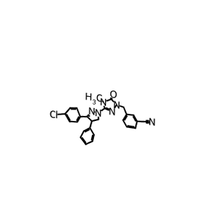 Cn1c(N2CC(c3ccccc3)C(c3ccc(Cl)cc3)=N2)nn(Cc2cccc(C#N)c2)c1=O